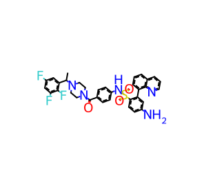 CC(c1cc(F)cc(F)c1F)N1CCN(C(=O)c2ccc(NS(=O)(=O)c3ccc(N)cc3-c3cccc4cccnc34)cc2)CC1